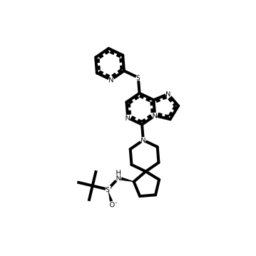 CC(C)(C)[S@+]([O-])N[C@@H]1CCCC12CCN(c1ncc(Sc3ccccn3)c3nccn13)CC2